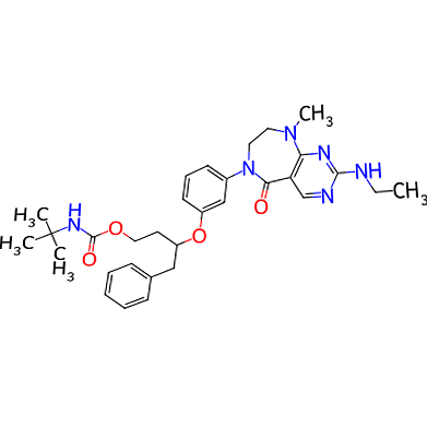 CCNc1ncc2c(n1)N(C)CCN(c1cccc(OC(CCOC(=O)NC(C)(C)C)Cc3ccccc3)c1)C2=O